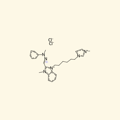 CN(/N=C/c1n(C)c2ccccc2[n+]1CCCCCCn1cc[n+](C)c1)c1ccccc1.[Cl-].[Cl-]